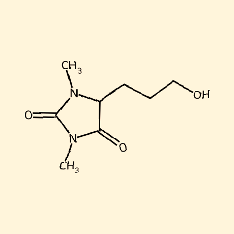 CN1C(=O)C(CCCO)N(C)C1=O